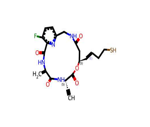 C#C[C@@H]1NC(=O)C(=C)NC(=O)c2nc(ccc2F)CNC(=O)C[C@@H](/C=C/CCS)OC1=O